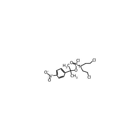 CC(C)(OP(=O)(Cl)N(CCCl)CCCl)c1ccc([N+](=O)[O-])cc1